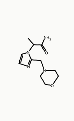 CC(C(N)=O)n1ccnc1CN1CCOCC1